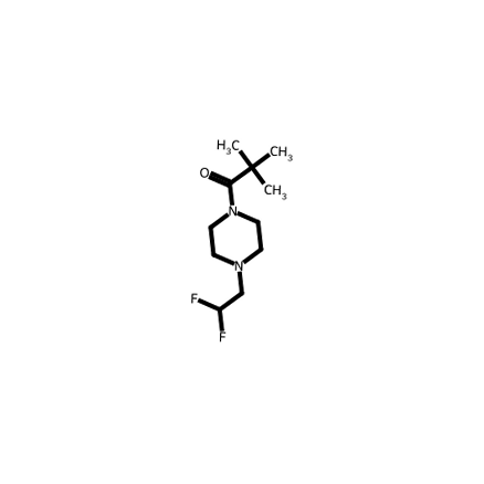 CC(C)(C)C(=O)N1CCN(CC(F)F)CC1